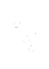 CCc1cccc(CC)c1-c1cc(OC(C)C)c(COc2ccc(F)c(F)c2)c(C)n1